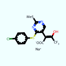 CSc1ncc(C(C(=O)[O-])=C(O)C(F)(F)F)c(Sc2ccc(Cl)cc2)n1.[Na+]